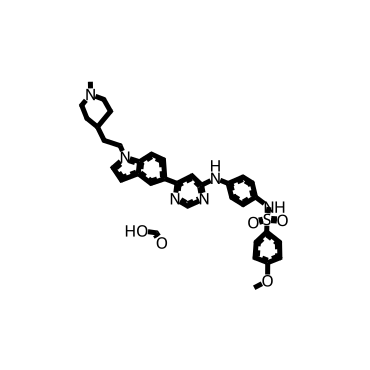 COc1ccc(S(=O)(=O)Nc2ccc(Nc3cc(-c4ccc5c(ccn5CCC5CCN(C)CC5)c4)ncn3)cc2)cc1.O=CO